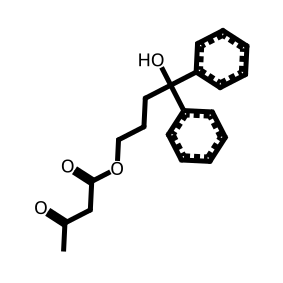 CC(=O)CC(=O)OCCCC(O)(c1ccccc1)c1ccccc1